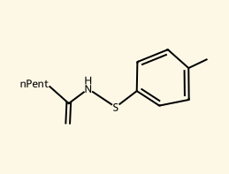 C=C(CCCCC)NSc1ccc(C)cc1